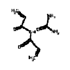 C=CC(=O)NC(=O)C=C.NC(N)=O